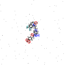 O=C(Cc1ccc2c(c1)OCO2)NC1CCN(CCCN2C(=O)CCc3cc(F)c(F)cc32)CC1